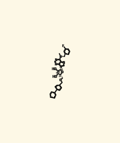 CN(Cc1cccc(F)c1)c1ncnc2c1ncn2[C@@H]1O[C@H](COCc2ccc(-c3ccccc3)cc2)[C@@H](O)[C@H]1O